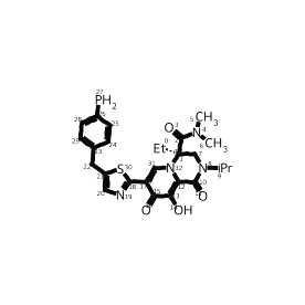 CC[C@]1(C(=O)N(C)C)CN(C(C)C)C(=O)c2c(O)c(=O)c(-c3ncc(Cc4ccc(P)cc4)s3)cn21